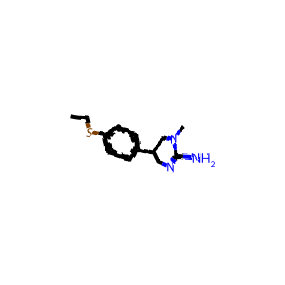 CCSc1ccc(C2CN=C(N)N(C)C2)cc1